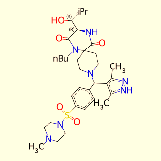 CCCCN1C(=O)[C@@H]([C@H](O)C(C)C)NC(=O)C12CCN(C(c1ccc(S(=O)(=O)N3CCN(C)CC3)cc1)c1c(C)n[nH]c1C)CC2